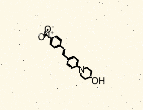 O=[N+]([O-])c1ccc(/C=C/c2ccc(N3CCC(O)CC3)cc2)cc1